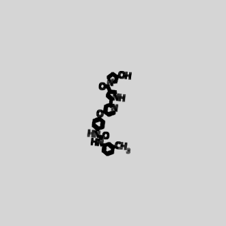 Cc1cccc(NC(=O)Nc2ccc(Oc3ccnc(-c4cc(C(=O)N5CCC(O)C5)c[nH]4)c3)cc2)c1